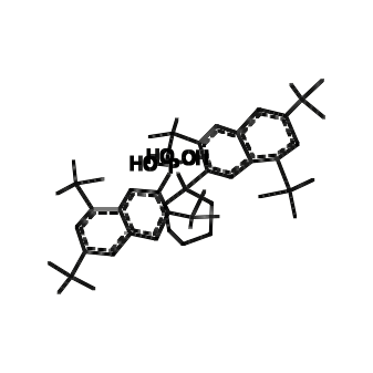 CC(C)(C)c1cc(C(C)(C)C)c2cc(C3(P(O)(O)(O)c4cc5c(C(C)(C)C)cc(C(C)(C)C)cc5cc4C(C)(C)C)CCCCC3)c(C(C)(C)C)cc2c1